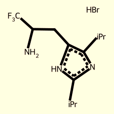 Br.CC(C)c1nc(C(C)C)c(CC(N)C(F)(F)F)[nH]1